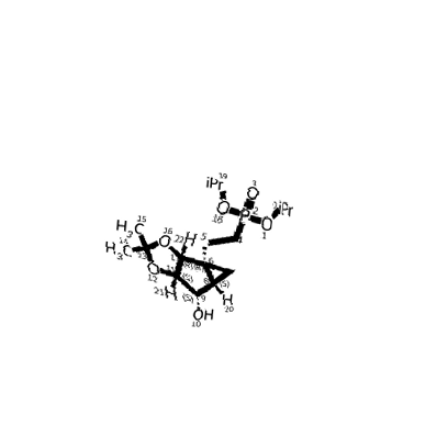 CC(C)OP(=O)(CC[C@]12C[C@@H]1[C@H](O)[C@@H]1OC(C)(C)O[C@@H]12)OC(C)C